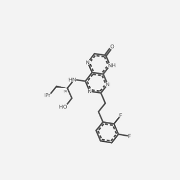 CC(C)C[C@H](CO)Nc1nc(CCc2cccc(F)c2F)nc2[nH]c(=O)cnc12